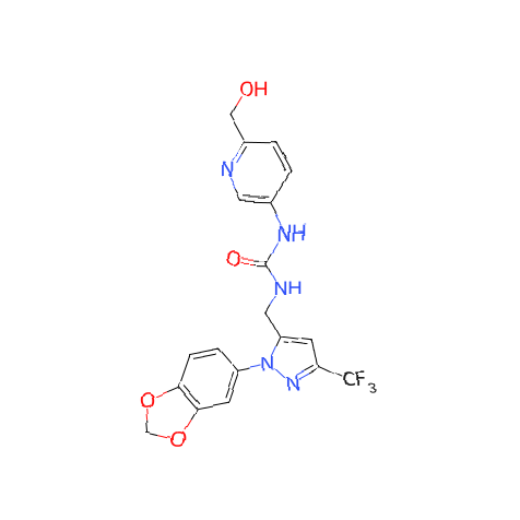 O=C(NCc1cc(C(F)(F)F)nn1-c1ccc2c(c1)OCO2)Nc1ccc(CO)nc1